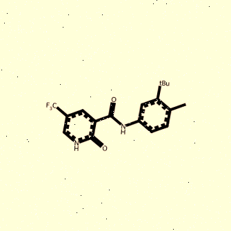 Cc1ccc(NC(=O)c2cc(C(F)(F)F)c[nH]c2=O)cc1C(C)(C)C